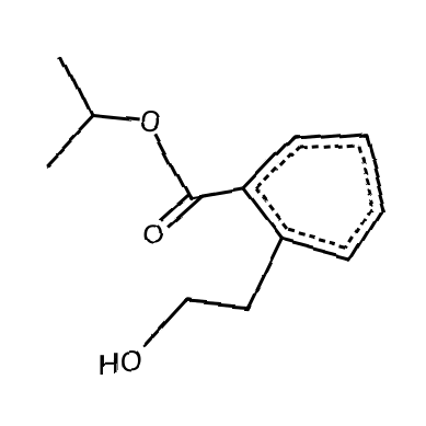 CC(C)OC(=O)c1ccccc1CCO